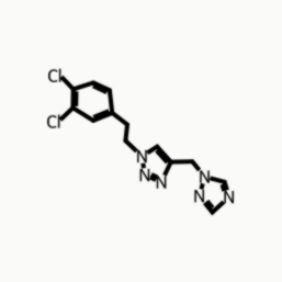 Clc1ccc(CCn2cc(Cn3cncn3)nn2)cc1Cl